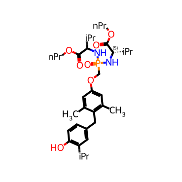 CCCOC(=O)C(NP(=O)(COc1cc(C)c(Cc2ccc(O)c(C(C)C)c2)c(C)c1)N[C@H](C(=O)OCCC)C(C)C)C(C)C